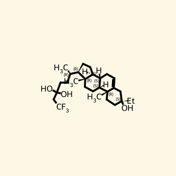 CC[C@]1(O)CC[C@@]2(C)C(=CC[C@H]3[C@@H]4CC[C@H]([C@H](C)CCC(O)(O)CC(F)(F)F)[C@@]4(C)CC[C@@H]32)C1